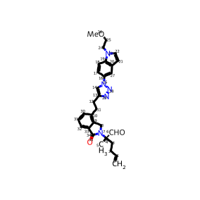 C=CCC[C@@](C)(C=O)N1Cc2c(CCc3cn(-c4ccc5c(ccn5CCOC)c4)nn3)cccc2C1=O